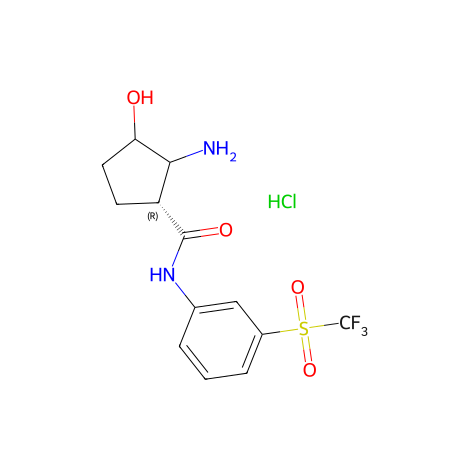 Cl.NC1C(O)CC[C@H]1C(=O)Nc1cccc(S(=O)(=O)C(F)(F)F)c1